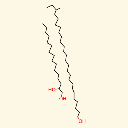 CCC(C)CCCCCCCCCCCCCCCCCCCCCCCO.CCCCCCCCCCCCCCC(O)CO